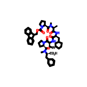 CC(C)C[C@H](NC(=O)[C@H](CC1CCCCC1)NC(=O)[C@H](C)N(C)C(=O)[C@@H]1CCCN1C(=O)OCC1c2ccccc2-c2ccccc21)C(=O)N1CCC[C@H]1C(=O)N(C)[C@@H](Cc1ccccc1)C(=O)O